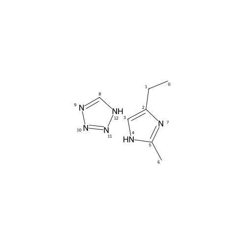 CCc1c[nH]c(C)n1.c1nnn[nH]1